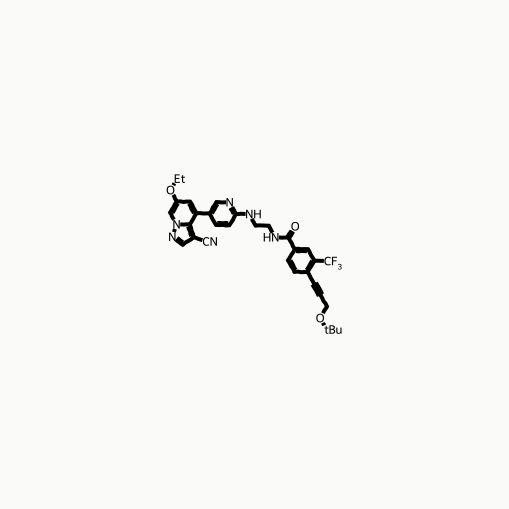 CCOc1cc(-c2ccc(NCCNC(=O)c3ccc(C#CCOC(C)(C)C)c(C(F)(F)F)c3)nc2)c2c(C#N)cnn2c1